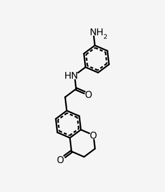 Nc1cccc(NC(=O)Cc2ccc3c(c2)OCCC3=O)c1